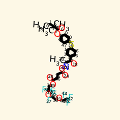 CCC(C)(C)C(=O)Oc1ccc(Sc2ccc(C(=O)/C(C)=N/OC(=O)CCC(=O)OCC(F)(F)OC(F)(F)COCC(F)(F)F)cc2)cc1